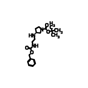 CC(C)(C)OC(=O)N1CC[C@@H](NCCNC(=O)OCc2ccccc2)C1